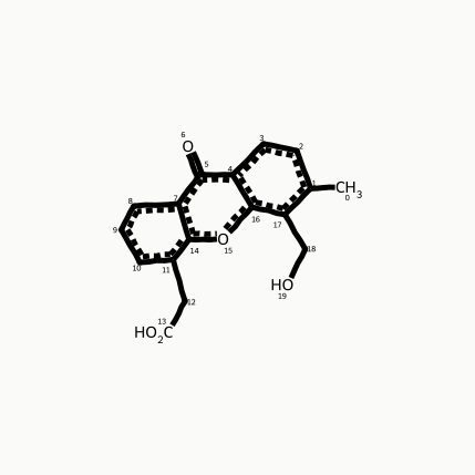 Cc1ccc2c(=O)c3cccc(CC(=O)O)c3oc2c1CO